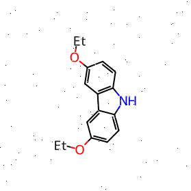 CCOc1ccc2[nH]c3ccc(OCC)cc3c2c1